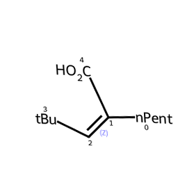 CCCCC/C(=C/C(C)(C)C)C(=O)O